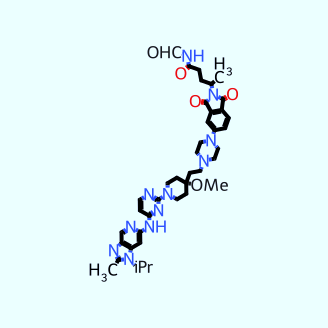 COC1(CCN2CCN(c3ccc4c(c3)C(=O)N(C(C)CCC(=O)NC=O)C4=O)CC2)CCN(c2nccc(Nc3cc4c(cn3)nc(C)n4C(C)C)n2)CC1